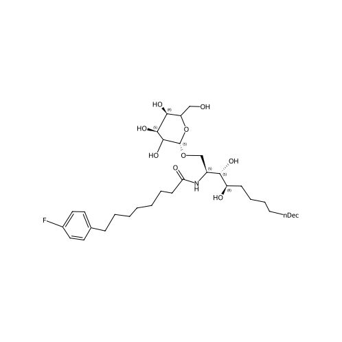 CCCCCCCCCCCCCC[C@@H](O)[C@@H](O)[C@H](CO[C@H]1OC(CO)[C@H](O)[C@H](O)C1O)NC(=O)CCCCCCCc1ccc(F)cc1